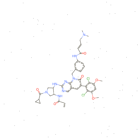 C=CC(=O)NC1CN(C(=O)C2CC2)CC1Nc1ncc2cc(-c3c(Cl)c(OC)cc(OC)c3Cl)c(=O)n(Cc3cccc(NC(=O)/C=C/CN(C)C)c3)c2n1